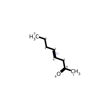 CCC/C=C/CC(C)=O